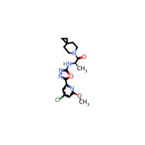 COc1cc(Cl)cc(-c2nnc(N[C@H](C)C(=O)N3CCC4(CC3)CC4)o2)n1